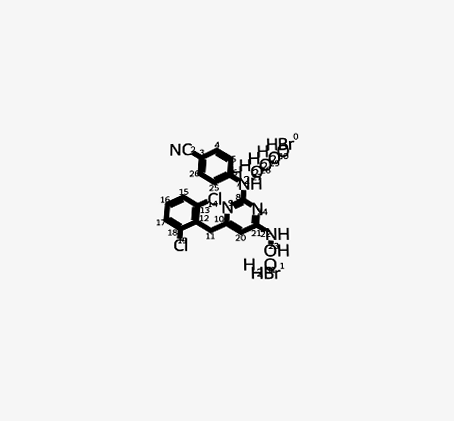 Br.Br.N#Cc1ccc(Nc2nc(Cc3c(Cl)cccc3Cl)cc(NO)n2)cc1.O.O.O.O.O